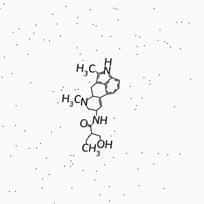 CCC(CO)C(=O)NC1C=C2c3cccc4[nH]c(C)c(c34)CC2N(C)C1